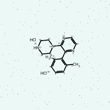 Cc1cccc(C)c1-c1nccnc1N1CCNCC1.Cl.Cl